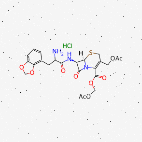 CC(=O)OCOC(=O)C1=C(COC(C)=O)CS[C@@H]2[C@H](NC(=O)C(N)Cc3cccc4c3OCO4)C(=O)N12.Cl